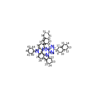 C1=Cc2cc(C3N=C(c4ccc5ccccc5c4)N=C(n4c5ccccc5c5ccc6c(c7ccccc7n6-c6ccccc6)c54)N3)ccc2CC1